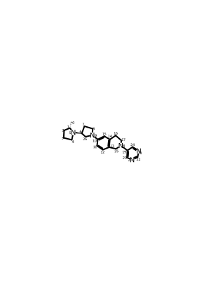 C[C@H]1CCCN1[C@H]1CCN(c2ccc3c(c2)CCN(c2cncnc2)C3)C1